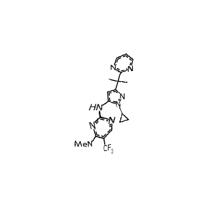 CNc1nc(Nc2cc(C(C)(C)c3ncccn3)nn2C2CC2)ncc1C(F)(F)F